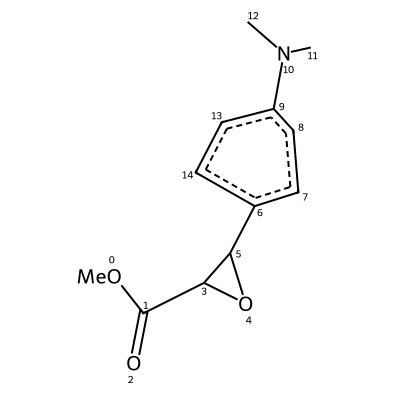 COC(=O)C1OC1c1ccc(N(C)C)cc1